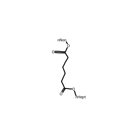 CCCCCCCCCOC(=O)CCCCC(=O)OCCCCCCC